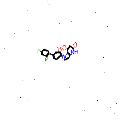 O=c1cc(O)c2c(ccn2-c2ccc(-c3ccc(F)cc3F)cc2)[nH]1